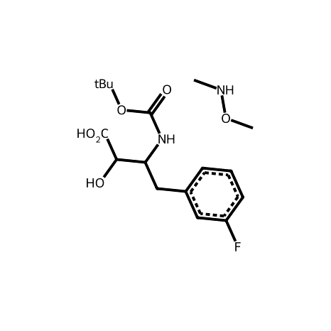 CC(C)(C)OC(=O)NC(Cc1cccc(F)c1)C(O)C(=O)O.CNOC